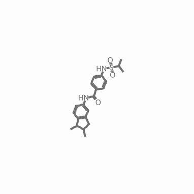 CC1Cc2cc(NC(=O)c3ccc(NS(=O)(=O)C(C)C)cc3)ccc2C1C